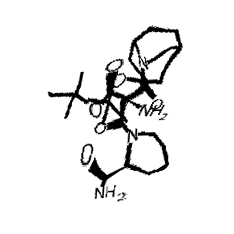 CC(C)(C)OC(=O)N1C2CCC1CC([C@@](N)(C(=O)OC(C)(C)C)C(=O)N1CCC[C@H]1C(N)=O)C2